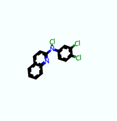 Clc1ccc(N(Cl)c2ccc3ccccc3n2)cc1Cl